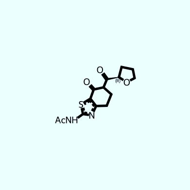 CC(=O)Nc1nc2c(s1)C(=O)C(C(=O)[C@H]1CCCO1)CC2